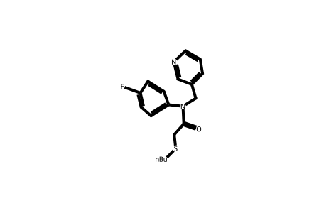 CCCCSCC(=O)N(Cc1cccnc1)c1ccc(F)cc1